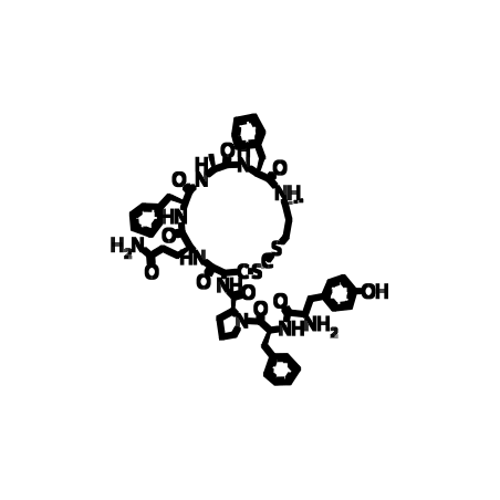 C[C@@H]1CCSCSC[C@@H](NC(=O)[C@@H]2CCCN2C(=O)[C@H](Cc2ccccc2)NC(=O)[C@H](N)Cc2ccc(O)cc2)C(=O)N[C@@H](CCC(N)=O)C(=O)N[C@@H](Cc2ccccc2)C(=O)N[C@@H](C)C(=O)N[C@@H](Cc2ccccc2)C(=O)N1